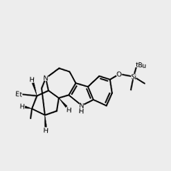 CC[C@@H]1C2[C@H]3C[C@@H](CN2CCc2c3[nH]c3ccc(O[Si](C)(C)C(C)(C)C)cc23)[C@@H]1C